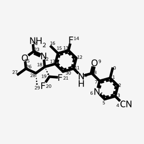 Cc1cc(C#N)cnc1C(=O)Nc1cc(F)c(C)c([C@]2(C(F)F)N=C(N)OC(C)[C@H]2C)c1